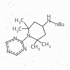 CCCCNC1CC(C)(C)N(c2ncncn2)C(C)(C)C1